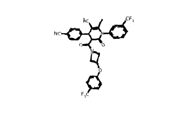 CC(=O)C1=C(C)N(c2cccc(C(F)(F)F)c2)C(=O)C(C(=O)N2CC(Oc3ccc(C(F)(F)F)cc3)C2)C1c1ccc(C#N)cc1